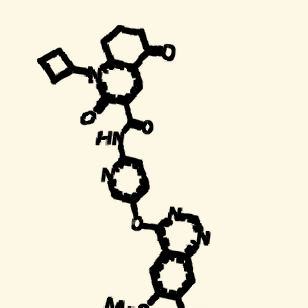 COc1cc2ncnc(Oc3ccc(NC(=O)c4cc5c(n(C6CCC6)c4=O)CCCC5=O)nc3)c2cc1OC